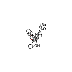 CC(C)(C)OC(=O)N1CC(Oc2cc(N3C4CCC3CN(c3cc(-c5ccccc5O)nnc3N)C4)ccn2)C1